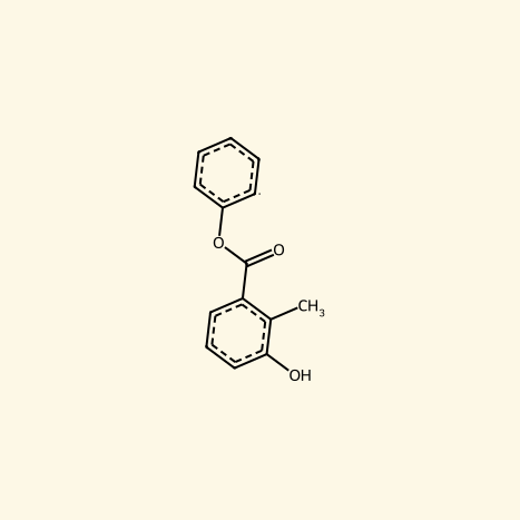 Cc1c(O)cccc1C(=O)Oc1[c]cccc1